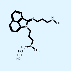 CNCCCN=C1c2cccc3cccc(c23)N1CCCN(C)C.Cl.Cl.Cl